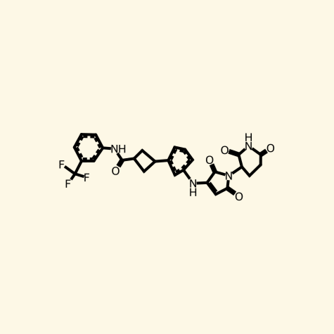 O=C1CCC(N2C(=O)C=C(Nc3cccc(C4CC(C(=O)Nc5cccc(C(F)(F)F)c5)C4)c3)C2=O)C(=O)N1